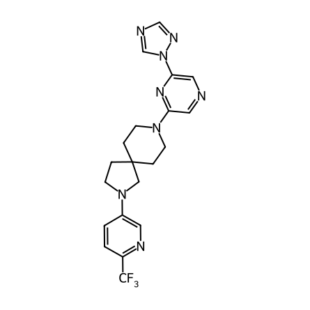 FC(F)(F)c1ccc(N2CCC3(CCN(c4cncc(-n5cncn5)n4)CC3)C2)cn1